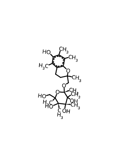 Cc1c(C)c2c(c(C)c1O)CCC(C)(CO[C@@]1(C)OC(C)(CO)[C@@](C)(O)[C@@](C)(O)C1(C)O)O2